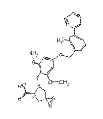 COc1cc(OCc2cccc(-c3ccccc3)c2C)cc(OC)c1CN1CC2(C[C@H]1C(=O)O)N=N2